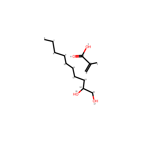 C=C(C)C(=O)O.CCCCCCCCC(O)CO